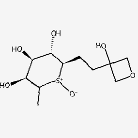 CC1[C@@H](O)[C@@H](O)[C@H](O)[C@@H](CCC2(O)COC2)[S+]1[O-]